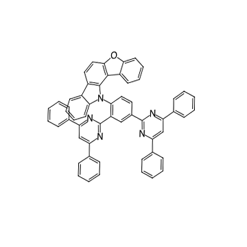 c1ccc(-c2cc(-c3ccccc3)nc(-c3ccc(-n4c5ccccc5c5ccc6oc7ccccc7c6c54)c(-c4nc(-c5ccccc5)cc(-c5ccccc5)n4)c3)n2)cc1